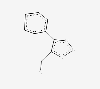 NCc1nn[nH]c1-c1ccccc1